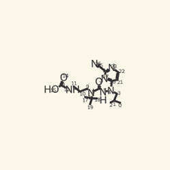 CC(C)CN(NC(=O)N(CCCNC(=O)O)C(C)(C)C)c1ccnc(C#N)n1